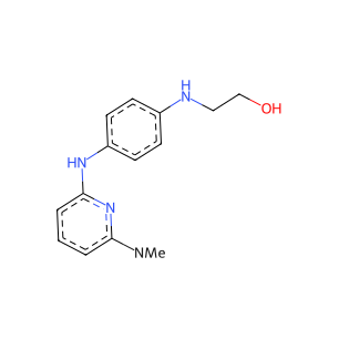 CNc1cccc(Nc2ccc(NCCO)cc2)n1